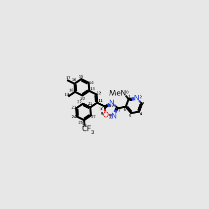 CNc1ncccc1-c1noc(C(=Cc2ccc(C)c(C)c2)c2cccc(C(F)(F)F)c2)n1